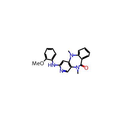 COc1ccccc1Nc1cc2c(cn1)N(C)C(=O)c1ccccc1N2C